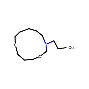 CCCCCCCCCCN1CCCCCCCCCCC1